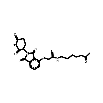 CC(=O)CCCCCNC(=O)COc1cccc2c1C(=O)N(C1CCC(=O)NC1=O)C2=O